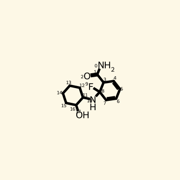 NC(=O)C1C=CC=CC1(F)NC1CCCCC1O